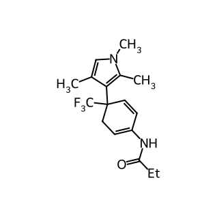 CCC(=O)NC1=CCC(c2c(C)cn(C)c2C)(C(F)(F)F)C=C1